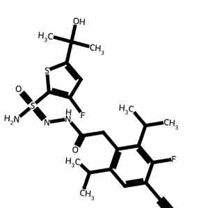 CC(C)c1cc(C#N)c(F)c(C(C)C)c1CC(=O)NN=S(N)(=O)c1sc(C(C)(C)O)cc1F